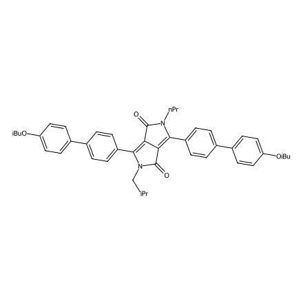 CCCN1C(=O)C2=C(c3ccc(-c4ccc(OCC(C)C)cc4)cc3)N(CC(C)C)C(=O)C2=C1c1ccc(-c2ccc(OCC(C)C)cc2)cc1